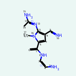 C=C(N/C=C\N)c1cc(C=N)c(/N=C(\C)N)n1CC